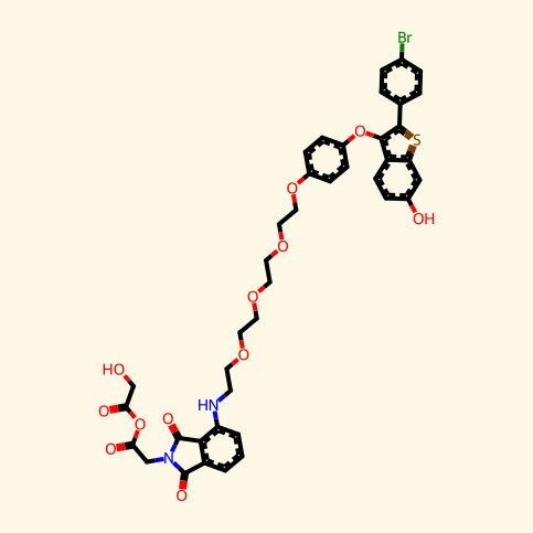 O=C(CO)OC(=O)CN1C(=O)c2cccc(NCCOCCOCCOCCOc3ccc(Oc4c(-c5ccc(Br)cc5)sc5cc(O)ccc45)cc3)c2C1=O